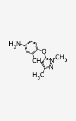 Cc1cc(Oc2ccc(N)cc2C)n(C)n1